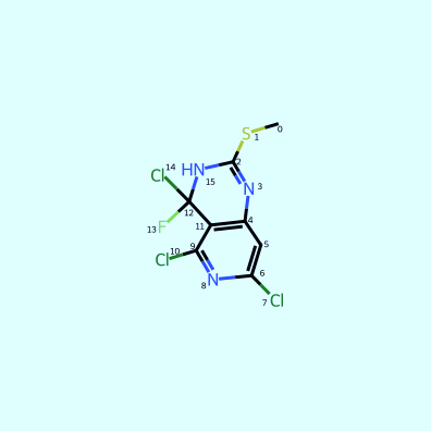 CSC1=Nc2cc(Cl)nc(Cl)c2C(F)(Cl)N1